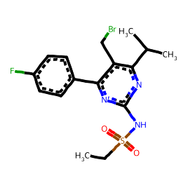 CCS(=O)(=O)Nc1nc(-c2ccc(F)cc2)c(CBr)c(C(C)C)n1